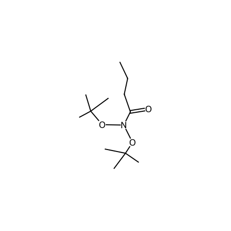 CCCC(=O)N(OC(C)(C)C)OC(C)(C)C